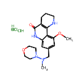 COc1cc(CN(C)N2CCOCC2)cc2[nH]c(=O)c3c(c12)NCCC3.Cl.Cl.Cl